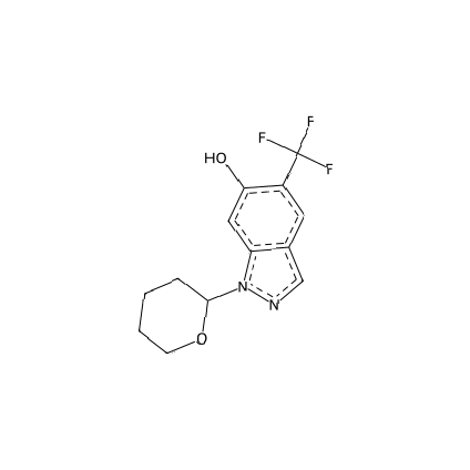 Oc1cc2c(cnn2C2CCCCO2)cc1C(F)(F)F